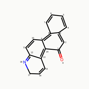 O=C1C=c2ccccc2=c2ccc3c(c21)C=CCN=3